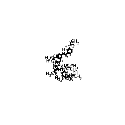 C=CC(=O)Nc1cccc(C(=O)Nc2cccc(CN(C(=O)OC(C)(C)C)c3nc(N(C(=O)OC(C)(C)C)[C@H]4CCC(C)(C)N(C(=O)OC(C)(C)C)C4)nc4c(C(C)C)cnn34)c2)c1